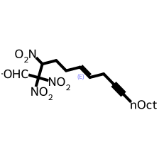 CCCCCCCCC#CC/C=C/CCC([N+](=O)[O-])C([C]=O)([N+](=O)[O-])[N+](=O)[O-]